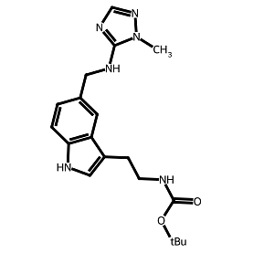 Cn1ncnc1NCc1ccc2[nH]cc(CCNC(=O)OC(C)(C)C)c2c1